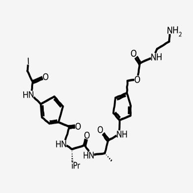 CC(C)[C@H](NC(=O)c1ccc(NC(=O)CI)cc1)C(=O)N[C@@H](C)C(=O)Nc1ccc(COC(=O)NCCN)cc1